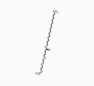 CCCCCCCCCCCCCCCCOC(=O)CCCOCCOCCOC